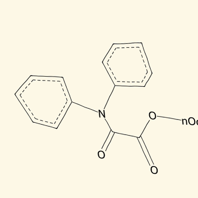 CCCCCCCCOC(=O)C(=O)N(c1ccccc1)c1ccccc1